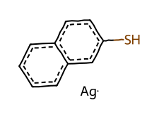 Sc1ccc2ccccc2c1.[Ag]